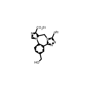 CCCc1nnc2n1Cc1c(C(=O)OCC)ncn1-c1ccc(CO)cc1-2